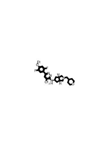 CCOc1cc(F)c(-c2cc(C(F)(F)F)c(N[C@H]3C[C@@H]4CN(CC5CCOCC5)C[C@@H]4C3)nn2)cc1F